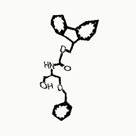 O=C(N[C@H](CO)COCc1ccccc1)OCC1c2ccccc2-c2ccccc21